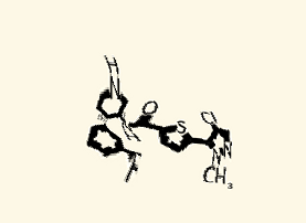 Cn1ncc(Cl)c1-c1ccc(C(=O)N[C@@H]2CNCC[C@H]2c2cccc(F)c2)s1